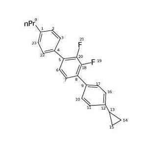 CCCc1ccc(-c2ccc(-c3ccc(C4CC4)cc3)c(F)c2F)cc1